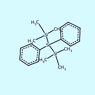 C[Si](C)(C)[Si](c1ccccc1)(c1ccccc1)[Si](C)(C)C